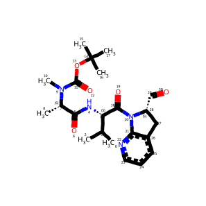 CC(C)[C@H](NC(=O)[C@H](C)N(C)C(=O)OC(C)(C)C)C(=O)N1c2ncccc2C[C@H]1C=O